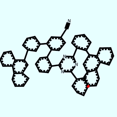 N#Cc1ccc(-c2ccccc2-c2nc(-c3ccccc3)nc(-c3ccccc3-c3cc4ccccc4c4ccccc34)n2)c(-c2cccc(-c3cc4ccccc4c4ccccc34)c2)c1